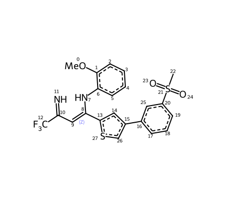 COc1ccccc1N/C(=C\C(=N)C(F)(F)F)c1cc(-c2cccc(S(C)(=O)=O)c2)cs1